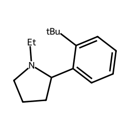 CCN1CCCC1c1ccccc1C(C)(C)C